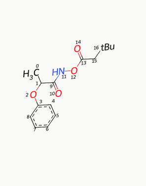 CC(Oc1ccccc1)C(=O)NOC(=O)CC(C)(C)C